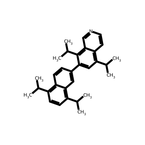 CC(C)c1ccc(C(C)C)c2cc(-c3cc(C(C)C)c4ccncc4c3C(C)C)ccc12